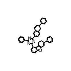 C1=CC(c2ccccc2)Cc2ccc(-c3nc(-c4ccccc4)nc(-c4cccc5oc6c(c45)CCC(c4ccccc4)=C6)n3)cc21